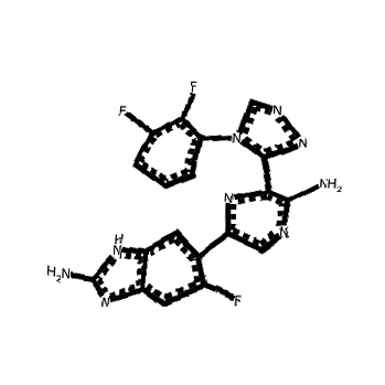 Nc1nc2cc(F)c(-c3cnc(N)c(-c4nncn4-c4cccc(F)c4F)n3)cc2[nH]1